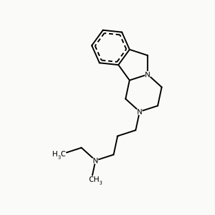 CCN(C)CCCN1CCN2Cc3ccccc3C2C1